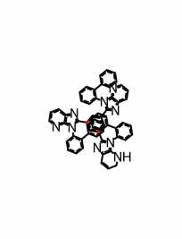 C1=Cc2nc(-c3cc(-c4nc5cccnc5n4-c4ccccc4-c4ccccc4)cc(-c4nc5cccnc5n4-c4ccccc4-c4ccccc4)c3)n(-c3ccccc3-c3ccccc3)c2NC1